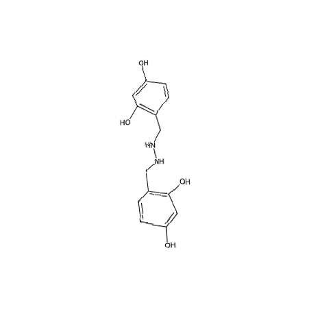 Oc1ccc(CNNCc2ccc(O)cc2O)c(O)c1